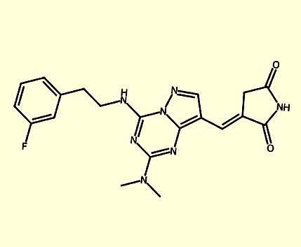 CN(C)c1nc(NCCc2cccc(F)c2)n2ncc(/C=C3\CC(=O)NC3=O)c2n1